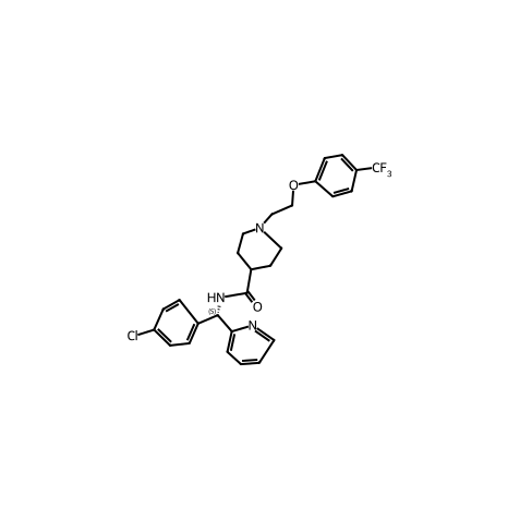 O=C(N[C@@H](c1ccc(Cl)cc1)c1ccccn1)C1CCN(CCOc2ccc(C(F)(F)F)cc2)CC1